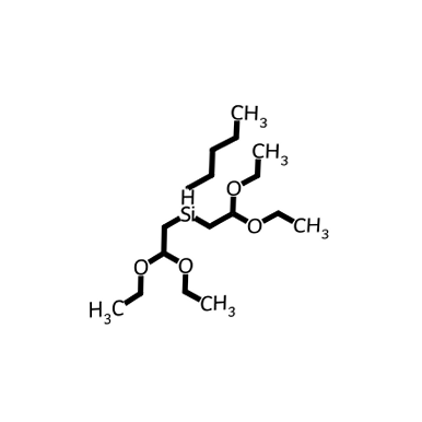 CCCCC[SiH](CC(OCC)OCC)CC(OCC)OCC